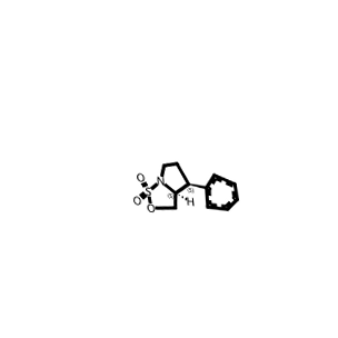 O=S1(=O)OC[C@@H]2[C@H](c3ccccc3)CCN21